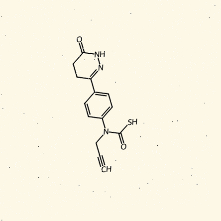 C#CCN(C(=O)S)c1ccc(C2=NNC(=O)CC2)cc1